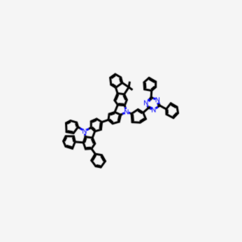 CC1(C)c2ccccc2-c2cc3c4cc(-c5ccc6c(c5)c5cc(-c7ccccc7)cc(-c7ccccc7)c5n6-c5ccccc5)ccc4n(-c4cccc(-c5nc(-c6ccccc6)nc(-c6ccccc6)n5)c4)c3cc21